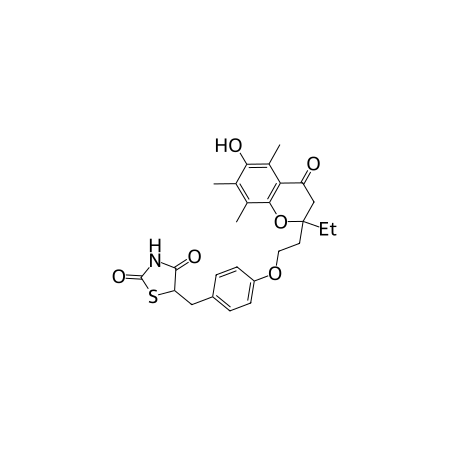 CCC1(CCOc2ccc(CC3SC(=O)NC3=O)cc2)CC(=O)c2c(C)c(O)c(C)c(C)c2O1